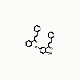 O=C(/C=C/c1ccccc1)c1cc(O)ccc1O.O=C(/C=C/c1ccccc1)c1ccccc1